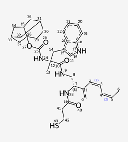 C=C(/C=C\C=C/C)[C@@H](CNC(=O)C(C)(Cc1c[nH]c2ccccc12)NC(=O)OC12CCC3CC(CC1C3)C2)NC(=O)CCS